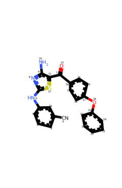 N#Cc1cccc(Nc2nc(N)c(C(=O)c3ccc(Oc4ccccc4)cc3)s2)c1